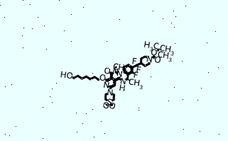 C[C@@H](Nc1nn(C)c(=O)c2c(OCCCCCCCO)nc(N3CCS(=O)(=O)CC3)cc12)c1cccc(C(F)(F)C2CCN(C(=O)OC(C)(C)C)CC2)c1F